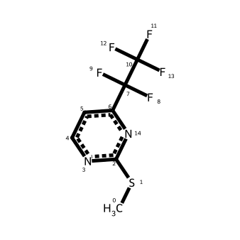 CSc1nccc(C(F)(F)C(F)(F)F)n1